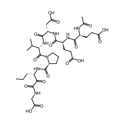 CCC[C@H](NC(=O)[C@@H]1CCCN1C(=O)[C@@H](NC(=O)[C@H](CC(=O)O)NC(=O)[C@H](CCC(=O)O)NC(=O)[C@H](CCC(=O)O)NC(C)=O)C(C)C)C(=O)C(=O)NCC(=O)O